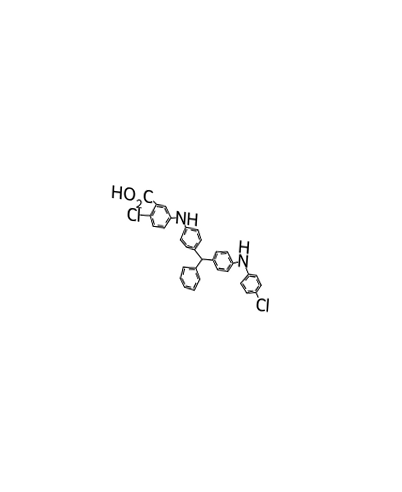 O=C(O)c1cc(Nc2ccc(C(c3ccccc3)c3ccc(Nc4ccc(Cl)cc4)cc3)cc2)ccc1Cl